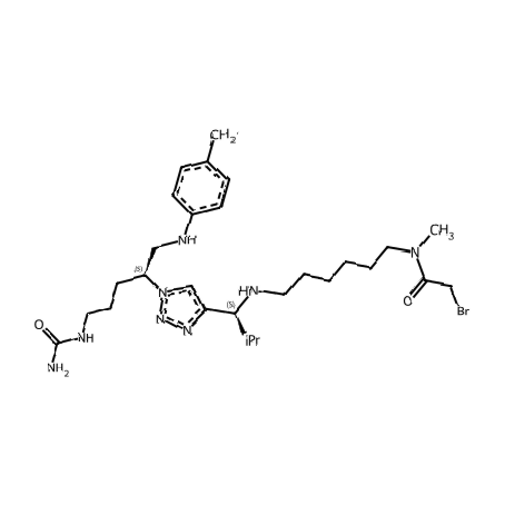 [CH2]c1ccc(NC[C@H](CCCNC(N)=O)n2cc([C@@H](NCCCCCCN(C)C(=O)CBr)C(C)C)nn2)cc1